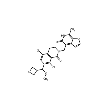 COC(c1cc(Cl)c2c(c1Cl)C(=O)N(Cc1c(=O)[nH]c(C)c3occc13)CC2)C1COC1